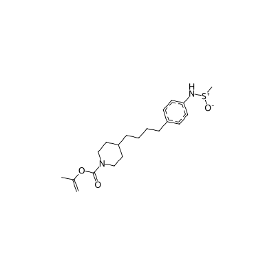 C=C(C)OC(=O)N1CCC(CCCCc2ccc(N[S+](C)[O-])cc2)CC1